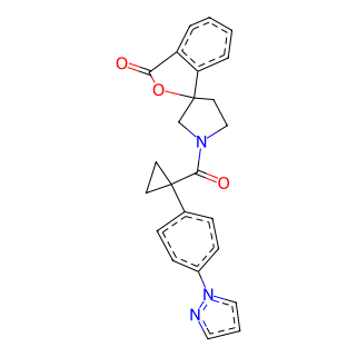 O=C1OC2(CCN(C(=O)C3(c4ccc(-n5cccn5)cc4)CC3)C2)c2ccccc21